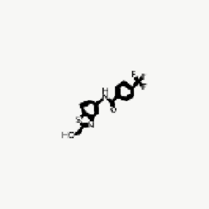 O=C(Nc1ccc2sc(CO)nc2c1)c1ccc(C(F)(F)F)cc1